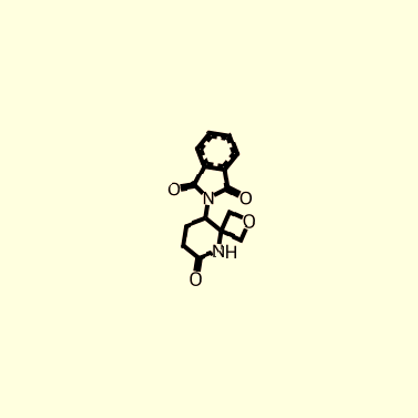 O=C1CCC(N2C(=O)c3ccccc3C2=O)C2(COC2)N1